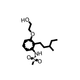 CCC(C)CCc1c(NS(C)(=O)=O)cccc1OCCO